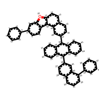 c1ccc(-c2ccc3c(c2)oc2ccc4ccc(-c5c6ccccc6c(-c6ccc7cccc(-c8ccccc8)c7c6)c6ccccc56)cc4c23)cc1